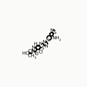 CC(C)(O)Cn1cnc2ccc(Sc3ncc(N4CCC5(CC4)Cc4ncsc4[C@H]5N)nc3N)c(Cl)c2c1=O